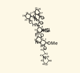 COc1cc2c(Oc3ccc(NC(=O)c4nn(-c5ccccc5Cl)c5ccccc5c4=O)cc3F)ccnc2cc1OCCCN1CCCCC1.Cl.Cl